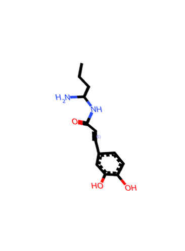 CCCC(N)NC(=O)/C=C/c1ccc(O)c(O)c1